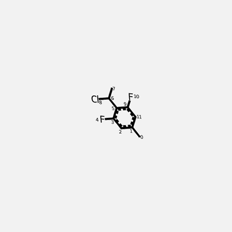 Cc1cc(F)c(C(C)Cl)c(F)c1